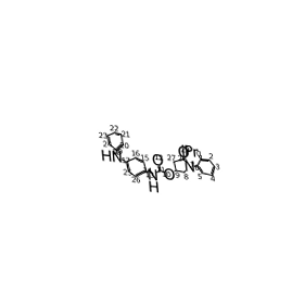 CC(C)c1ccccc1N1CC(OC(=O)Nc2ccc(Nc3ccccc3)cc2)CC1=O